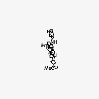 COC(=O)C1CC=C(C2=CC[C@]3(C)[C@H]4CC[C@@H]5[C@H]6[C@H](C(C)C)CC[C@]6(NCCN6CCS(=O)(=O)CC6)CC[C@@]5(C)[C@]4(C)CC[C@H]3C2(C)C)CC1